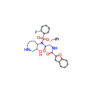 CC(C)C[C@H](NC(=O)c1cc2ccccc2o1)C(=O)N(C1CCCNCC1O)S(=O)(=O)c1ccccc1F